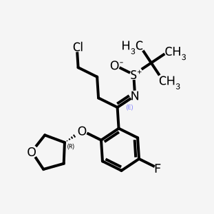 CC(C)(C)[S+]([O-])/N=C(\CCCCl)c1cc(F)ccc1O[C@@H]1CCOC1